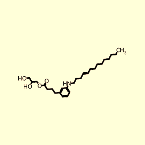 CCCCCCCCCC=CCCCNc1cccc(CCCC(=O)OCC(O)CO)c1